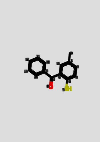 Cc1ccc(S)c(C(=O)c2ccccc2)c1